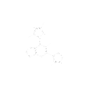 Cc1nc(C)n(-c2c(C)c(-c3ccnn3C)cc3ccoc23)n1